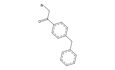 O=C(CBr)c1ccc(Cc2ccccc2)cc1